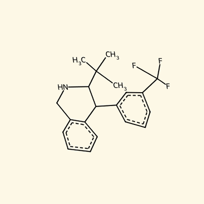 CC(C)(C)C1NCc2ccccc2C1c1cccc(C(F)(F)F)c1